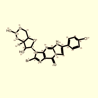 O=c1c2nc(Br)n([C@@H]3OC4COP(O)O[C@H]4C3O)c2nc2[nH]c(-c3ccc(Cl)cc3)cn12